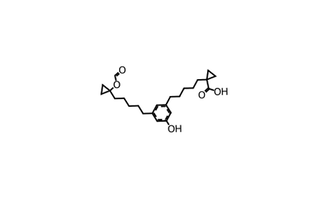 O=COC1(CCCCCc2cc(O)cc(CCCCCC3(C(=O)O)CC3)c2)CC1